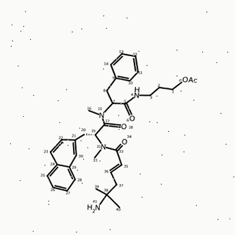 CC(=O)OCCCNC(=O)C(Cc1ccccc1)N(C)C(=O)[C@@H](Cc1ccc2ccccc2c1)N(C)C(=O)/C=C/CC(C)(C)N